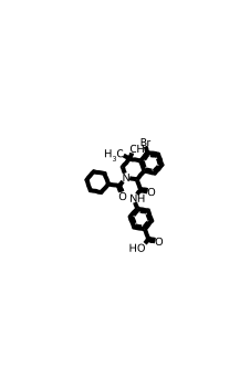 CC1(C)CN(C(=O)C2CCCCC2)C(C(=O)Nc2ccc(C(=O)O)cc2)c2cccc(Br)c21